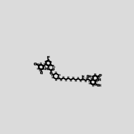 O=C(Nc1c(F)cc(F)cc1-c1cc(Cl)cc(Cl)c1)OC1CCN(CCCCCCCCCNC[C@H](O)c2ccc(O)c3[nH]c(=O)ccc23)CC1